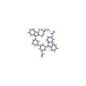 C=C/C=C\c1c(C)c2ccccc2n1-c1cccc(-c2cc(C#N)cc(-n3c4ccccc4c4cc(C#N)ccc43)c2)c1